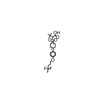 CC(C)(C)C(C(=O)O)S(=O)(=O)N1CCN(c2ccc(OCCCC(F)(F)F)cc2)CC1